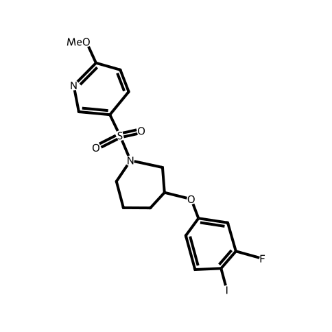 COc1ccc(S(=O)(=O)N2CCCC(Oc3ccc(I)c(F)c3)C2)cn1